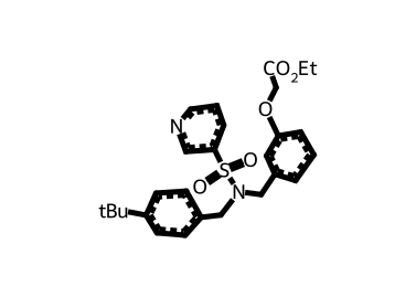 CCOC(=O)COc1cccc(CN(Cc2ccc(C(C)(C)C)cc2)S(=O)(=O)c2cccnc2)c1